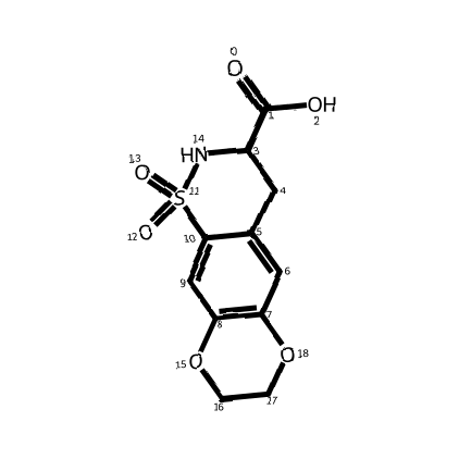 O=C(O)C1Cc2cc3c(cc2S(=O)(=O)N1)OCCO3